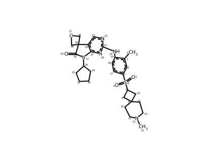 Cc1cc(S(=O)(=O)C2CC3(CCN(C)CC3)C2)ccc1Nc1ncc2c(n1)N(C1CCCC1)C(=O)C21COC1